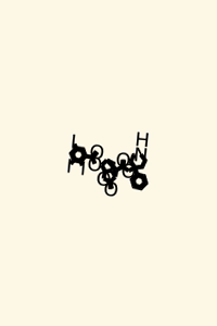 O=C(OC1C2CC3C1OC(=O)C3C2C(=O)OC1(c2ccccc2)CCNCC1)c1cc(I)cc(I)c1I